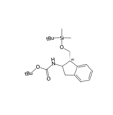 CC(C)(C)OC(=O)NC1Cc2ccccc2[C@H]1CO[Si](C)(C)C(C)(C)C